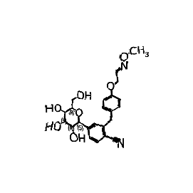 CON=CCOc1ccc(Cc2cc([C@@H]3O[C@H](CO)C(O)[C@@H](O)[C@H]3O)ccc2C#N)cc1